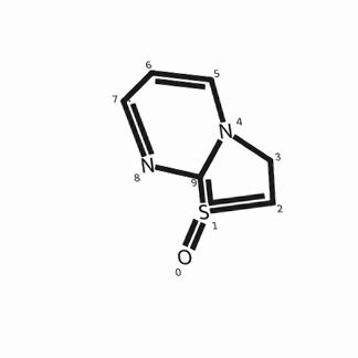 O=S1=CCN2C=C[C]=NC=12